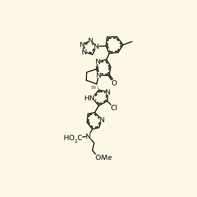 COCCN(C(=O)O)c1ccc(-c2[nH]c([C@@H]3CCc4nc(-c5cc(C)ccc5-n5cnnn5)cc(=O)n43)nc2Cl)nc1